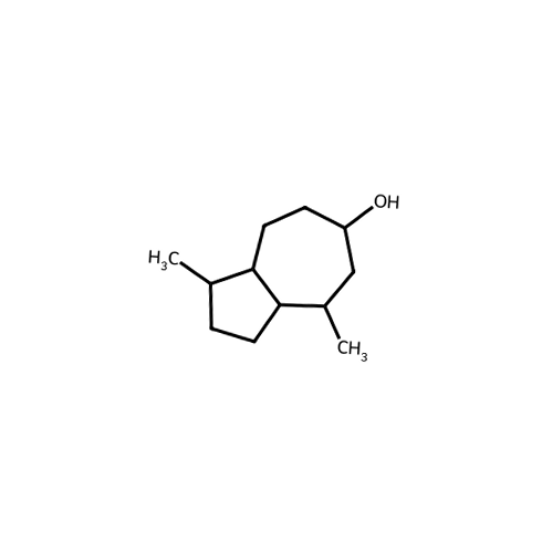 CC1CCC2C(C)CC(O)CCC12